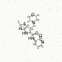 Cc1nc2[nH]c(C(=O)Nc3cccnc3Cl)c(CN3CCOCC3)c2s1